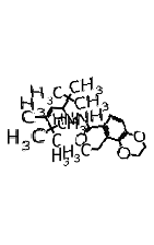 CCc1c(C(=O)NNC(C=C(C)C(C)(C)C)C(C)(C)C)ccc2c1OCCO2